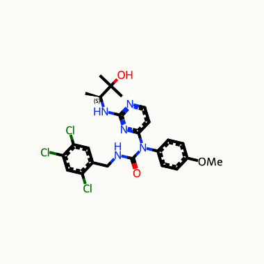 COc1ccc(N(C(=O)NCc2cc(Cl)c(Cl)cc2Cl)c2ccnc(N[C@@H](C)C(C)(C)O)n2)cc1